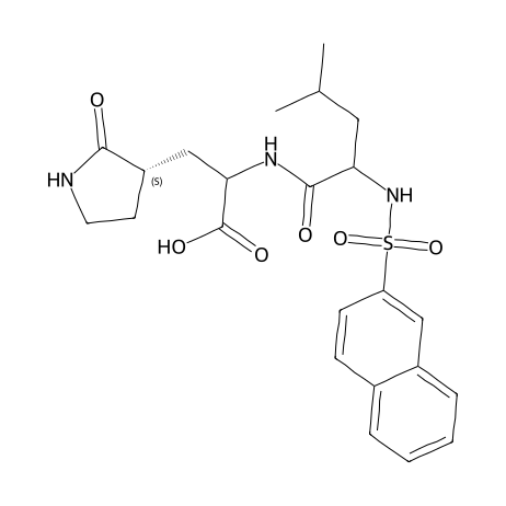 CC(C)CC(NS(=O)(=O)c1ccc2ccccc2c1)C(=O)NC(C[C@@H]1CCNC1=O)C(=O)O